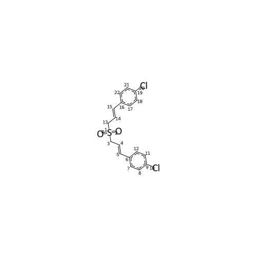 O=S(=O)(CC=Cc1ccc(Cl)cc1)CC=Cc1ccc(Cl)cc1